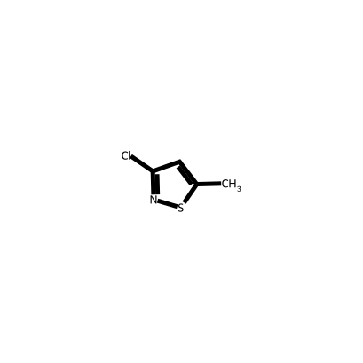 Cc1cc(Cl)ns1